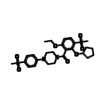 CCOc1ccc(S(C)(=O)=O)c(OC2CCCC2)c1C(=O)N1CCN(c2ccc(S(C)(=O)=O)cc2)CC1